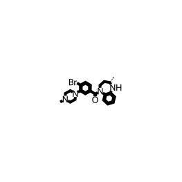 C[C@H]1CCN(C(=O)c2ccc(Br)c(N3CCN(C)CC3)c2)c2ccccc2N1